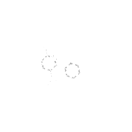 OB(O)c1ccc(C(F)(F)F)nc1-c1cccc(C(F)(F)F)c1